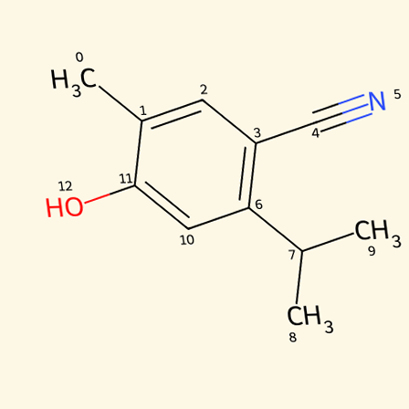 Cc1cc(C#N)c(C(C)C)cc1O